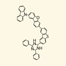 c1ccc(C2=NC(c3ccccc3)NC(c3ccc4sc5ccc(-c6ccc7c(c6)oc6ccc(-n8c9ccccc9c9ccccc98)cc67)cc5c4c3)N2)cc1